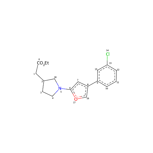 CCOC(=O)CC1CCN(c2cc(-c3cccc(Cl)c3)co2)C1